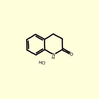 Cl.O=C1CCc2ccccc2N1